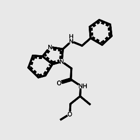 COCC(C)NC(=O)Cn1c(NCc2ccccc2)nc2ccccc21